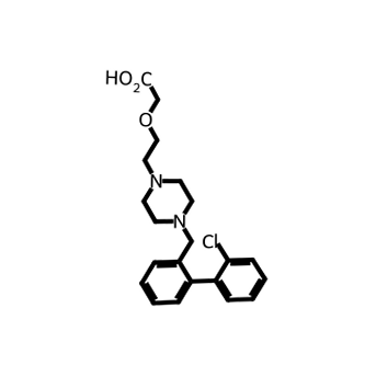 O=C(O)COCCN1CCN(Cc2ccccc2-c2ccccc2Cl)CC1